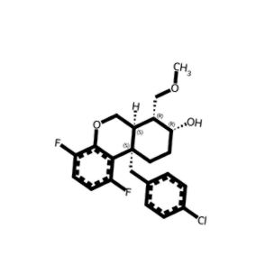 COC[C@@H]1[C@H](O)CC[C@@]2(Cc3ccc(Cl)cc3)c3c(F)ccc(F)c3OC[C@@H]12